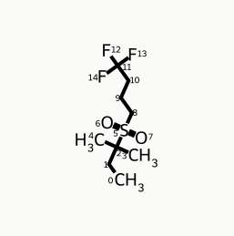 CCC(C)(C)S(=O)(=O)CCCC(F)(F)F